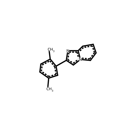 Cc1ccc(C)c(-c2cn3ccccc3n2)c1